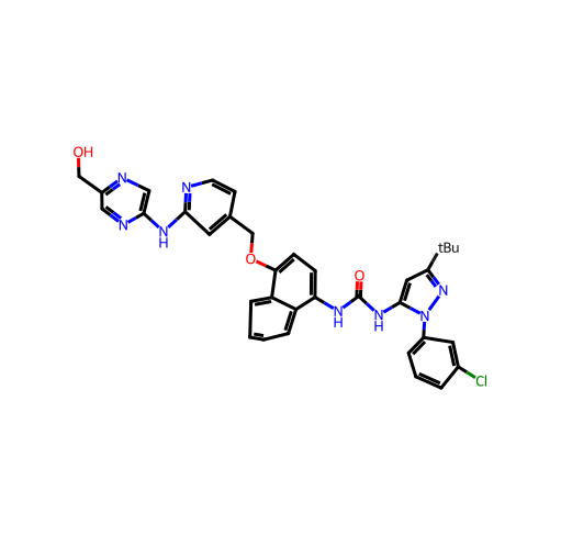 CC(C)(C)c1cc(NC(=O)Nc2ccc(OCc3ccnc(Nc4cnc(CO)cn4)c3)c3ccccc23)n(-c2cccc(Cl)c2)n1